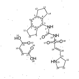 O=C(Nc1c2c(cc3c1CCC3)CCC2)NS(=O)(=O)/C=C/C1CCCN1.O=C(O)/C=C\C(=O)O